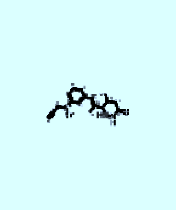 C#CC[S+]([O-])c1cccc(/C=C(\C)C2NNC(=O)CC2C)c1